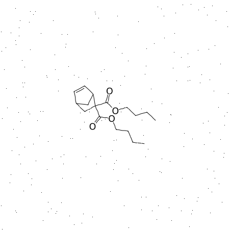 CCCCOC(=O)C1(C(=O)OCCCC)CC2C=CC1C2